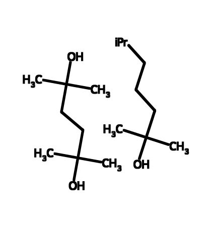 CC(C)(O)CCC(C)(C)O.CC(C)CCCC(C)(C)O